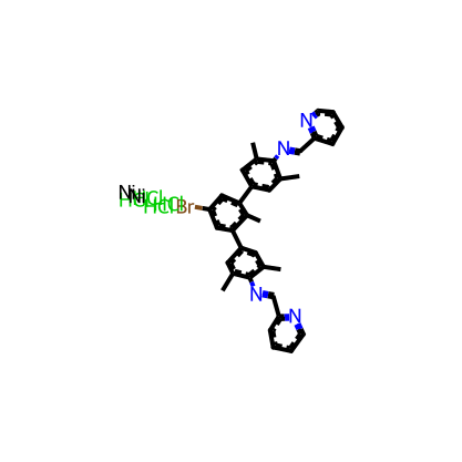 Cc1cc(-c2cc(Br)cc(-c3cc(C)c(N=Cc4ccccn4)c(C)c3)c2C)cc(C)c1N=Cc1ccccn1.Cl.Cl.Cl.Cl.[Ni].[Ni]